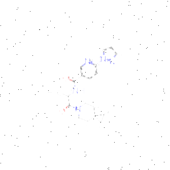 CC(NC(=O)c1ccc(-n2cccn2)nc1)C(=O)N1CCC2(CC1)CC2